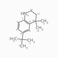 CC(C)(C)c1ccc2c(c1)C(C)(C)CCN2